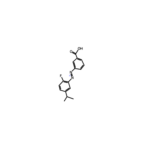 CC(C)c1ccc(F)c(/N=N/c2cccc(C(=O)O)c2)c1